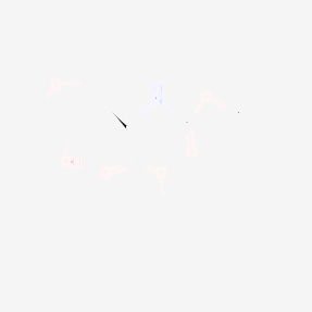 CC(C)(C)OC(=O)NC(C(=O)OC(C)(C)C)[C@@H]1COC[C@H]1O